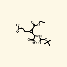 CCOC(=O)C1C(CC[N+](=O)[O-])C1C(NC(=O)OC(C)(C)C)C(=O)O